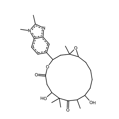 Cc1nc2cc(C3CC4(C)OC4CCCCC(O)C(C)C(=O)C(C)(C)C(O)CC(=O)O3)ccc2n1C